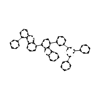 c1ccc(-c2nc(-c3ccccc3)nc(-c3cccc(-c4ccc(-c5cccc6c5sc5cccc(-c7ccccc7)c56)c5oc6ccccc6c45)c3)n2)cc1